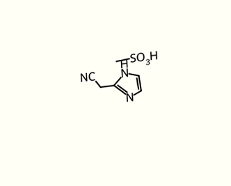 CS(=O)(=O)O.N#CCc1ncc[nH]1